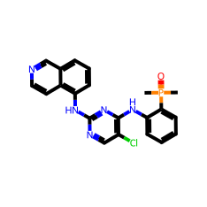 CP(C)(=O)c1ccccc1Nc1nc(Nc2cccc3cnccc23)ncc1Cl